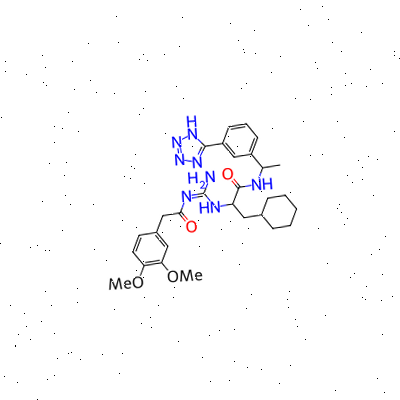 COc1ccc(CC(=O)N=C(N)NC(CC2CCCCC2)C(=O)NC(C)c2cccc(-c3nnn[nH]3)c2)cc1OC